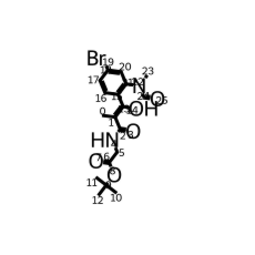 C/C(C(=O)NCC(=O)OC(C)(C)C)=C(/O)c1ccc(Br)cc1N(C)C=O